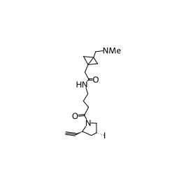 C#C[C@@H]1C[C@@H](I)CN1C(=O)CCCNC(=O)CC12CC1(CNC)C2